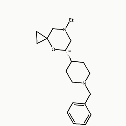 CCN1C[C@H](C2CCN(Cc3ccccc3)CC2)OC2(CC2)C1